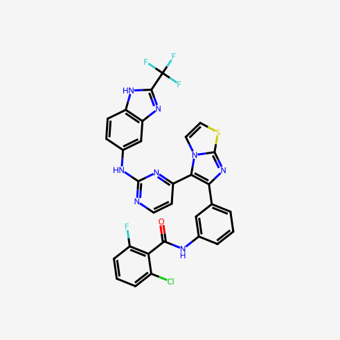 O=C(Nc1cccc(-c2nc3sccn3c2-c2ccnc(Nc3ccc4[nH]c(C(F)(F)F)nc4c3)n2)c1)c1c(F)cccc1Cl